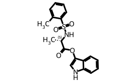 Cc1ccccc1S(=O)(=O)N[C@@H](C)C(=O)Oc1c[nH]c2ccccc12